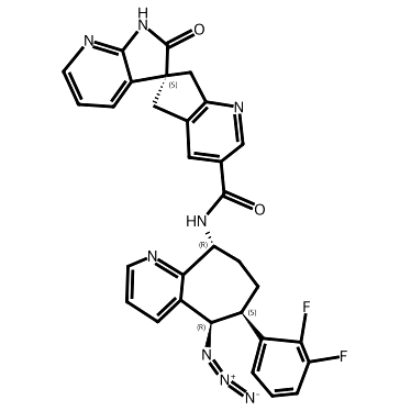 [N-]=[N+]=N[C@H]1c2cccnc2[C@H](NC(=O)c2cnc3c(c2)C[C@@]2(C3)C(=O)Nc3ncccc32)CC[C@H]1c1cccc(F)c1F